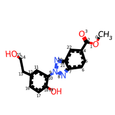 COC(=O)c1ccc2nn(-c3cc(CCO)ccc3O)nc2c1